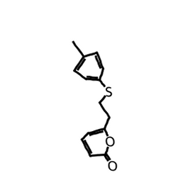 Cc1ccc(SCCc2cccc(=O)o2)cc1